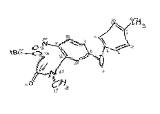 Cc1ccc(Oc2ccc([N+](=O)[O-])c(N(C)C(=O)OC(C)(C)C)c2)cc1